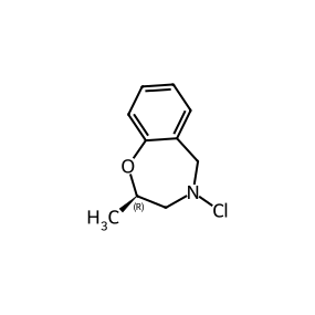 C[C@@H]1CN(Cl)Cc2ccccc2O1